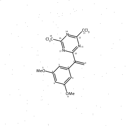 C=C(c1cc(OC)cc(OC)c1)c1nc(C(Cl)(Cl)Cl)nc(C(Cl)(Cl)Cl)n1